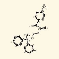 CC(C)(C)N(CCO[Si](c1ccccc1)(c1ccccc1)C(C)(C)C)C(=O)c1ccc([N+](=O)[O-])cc1